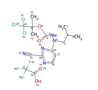 CC(C)CN(NC(=O)OC(C)(C)C(Cl)(Cl)Cl)c1ccnc(C#N)n1.O=C(O)C(F)(F)F